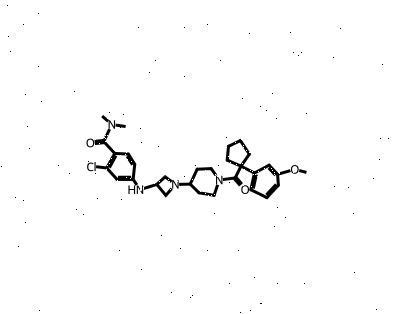 COc1cccc(C2(C(=O)N3CCC(N4CC(Nc5ccc(C(=O)N(C)C)c(Cl)c5)C4)CC3)CCCC2)c1